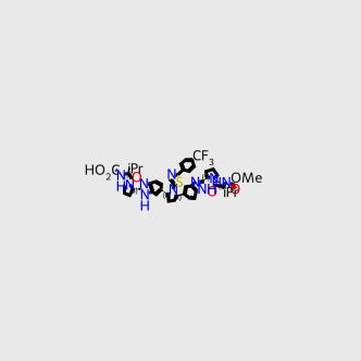 COC(=O)N[C@H](C(=O)N1CCC[C@H]1c1nc2cc([C@H]3CC[C@H](c4ccc5nc([C@@H]6CCCN6C(=O)[C@@H](NC(=O)O)C(C)C)[nH]c5c4)N3c3cnc(-c4ccc(C(F)(F)F)cc4)s3)ccc2[nH]1)C(C)C